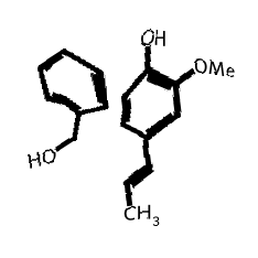 CC=Cc1ccc(O)c(OC)c1.OCc1ccccc1